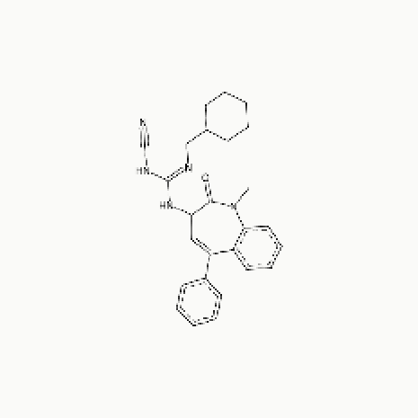 CN1C(=O)C(NC(=NCC2CCCCC2)NC#N)C=C(c2ccccc2)c2ccccc21